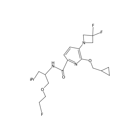 CC(C)CC(COCCF)NC(=O)c1ccc(N2CC(F)(F)C2)c(OCC2CC2)n1